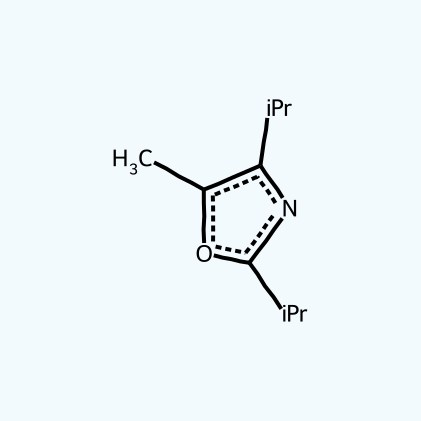 Cc1oc(C(C)C)nc1C(C)C